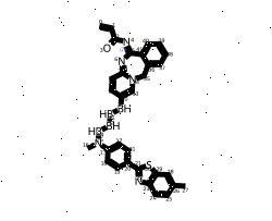 C=CC(=O)/N=C1\N=C2C=CC(BBBBN(C)c3ccc(-c4nc5ccc(C)cc5s4)cc3)=CN2Cc2ccccc21